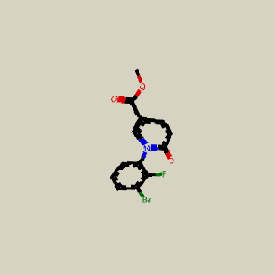 COC(=O)c1ccc(=O)n(-c2cccc(Br)c2F)c1